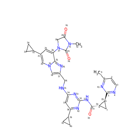 Cc1ccnc([C@H]2C[C@@H]2C(=O)Nc2nc(NCc3cn4cc(C5CC5)cc(N5CC(=O)N(C)C5=O)c4n3)cc(C3CC3)n2)n1